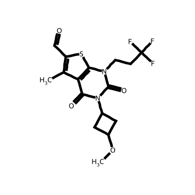 COC1CC(n2c(=O)c3c(C)c(C=O)sc3n(CCC(F)(F)F)c2=O)C1